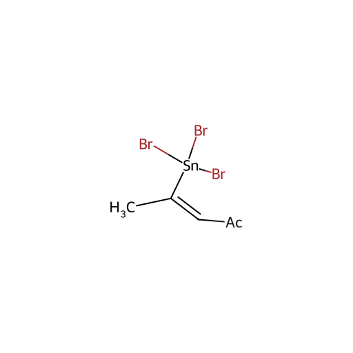 CC(=O)C=[C](C)[Sn]([Br])([Br])[Br]